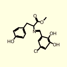 COC(=O)C(Cc1ccc(O)cc1)N=Cc1cc(Cl)cc(O)c1O